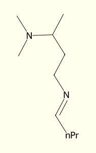 CCCC=NCCC(C)N(C)C